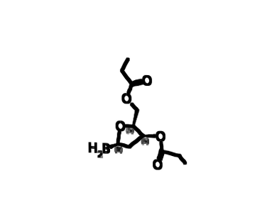 B[C@@H]1C[C@H](OC(=O)CC)[C@H](COC(=O)CC)O1